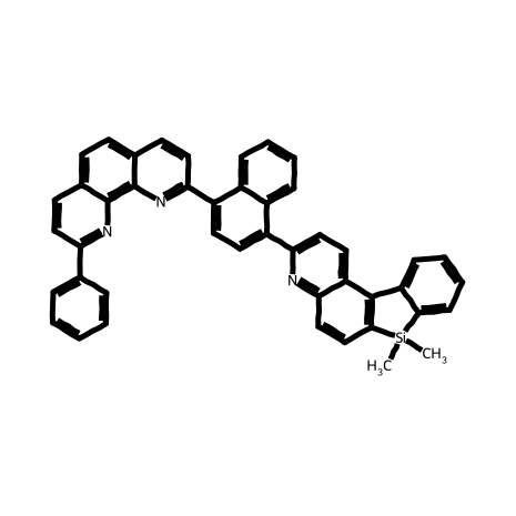 C[Si]1(C)c2ccccc2-c2c1ccc1nc(-c3ccc(-c4ccc5ccc6ccc(-c7ccccc7)nc6c5n4)c4ccccc34)ccc21